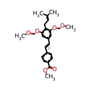 COCOc1cc(/C=C/c2ccc(C(=O)OC)cc2)cc(OCOC)c1CC=C(C)C